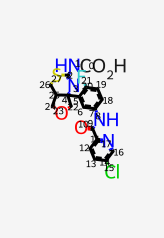 O=C(O)NC1=NC2(c3cc(NC(=O)c4ccc(Cl)cn4)ccc3F)COCC2CS1